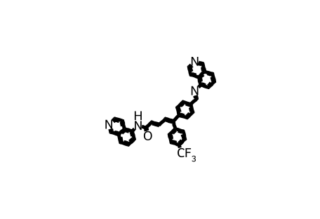 O=C(C=CC=C(c1ccc(C=Nc2cccc3cnccc23)cc1)c1ccc(C(F)(F)F)cc1)Nc1cccc2cnccc12